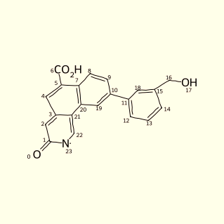 O=C1C=c2cc(C(=O)O)c3ccc(-c4cccc(CO)c4)cc3c2=C[N]1